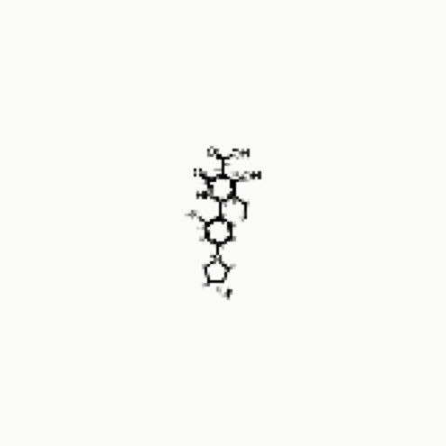 CCc1c(-c2ccc(N3CC[C@@H](F)C3)cc2F)[nH]c(=O)c(C(=O)O)c1O